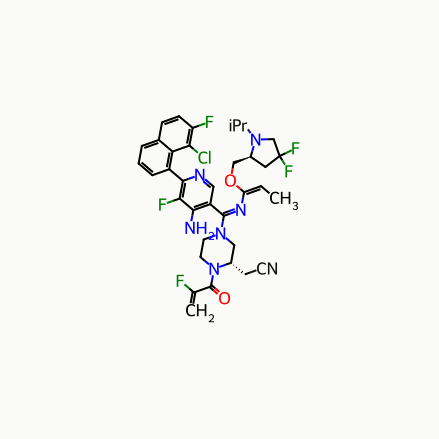 C=C(F)C(=O)N1CCN(/C(=N/C(=C\C)OC[C@@H]2CC(F)(F)CN2C(C)C)c2cnc(-c3cccc4ccc(F)c(Cl)c34)c(F)c2N)C[C@@H]1CC#N